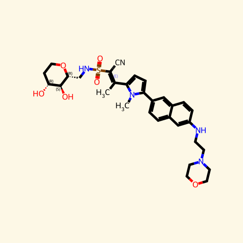 C/C(=C(/C#N)S(=O)(=O)NC[C@H]1OCC[C@@H](O)[C@@H]1O)c1ccc(-c2ccc3cc(NCCN4CCOCC4)ccc3c2)n1C